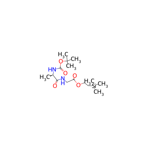 C[C@@H](NC(=O)OC(C)(C)C)C(=O)NCC(=O)OCC[Si](C)(C)C